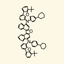 CC(C)(C)c1cccc2c1oc1c(N(c3ccc(C4CCCCC4)cc3)c3cc4oc5cc(N(c6ccc(C7CCCCC7)cc6)c6cccc7c6oc6c(C(C)(C)C)cccc67)c6ccccc6c5c4c4ccccc34)cccc12